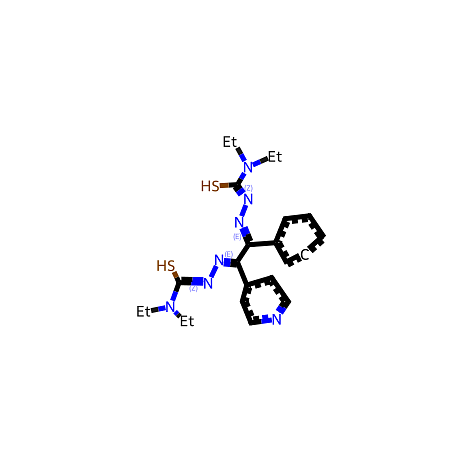 CCN(CC)/C(S)=N/N=C(/C(=N/N=C(\S)N(CC)CC)c1ccncc1)c1ccccc1